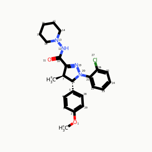 COc1ccc([C@@H]2[C@@H](C)C(C(=O)NN3CCCCC3)=NN2c2ccccc2Cl)cc1